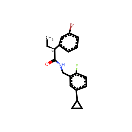 CC[C@H](C(=O)NCc1cc(C2CC2)ccc1F)c1cccc(Br)c1